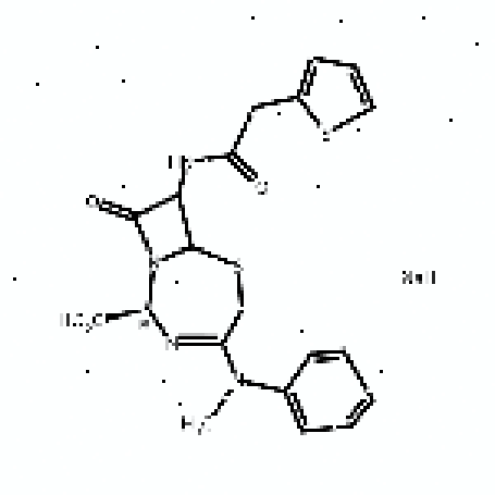 CN(C1=N[C@@H](C(=O)O)N2C(=O)C(NC(=O)Cc3cccs3)C2SC1)c1ccccc1.[NaH]